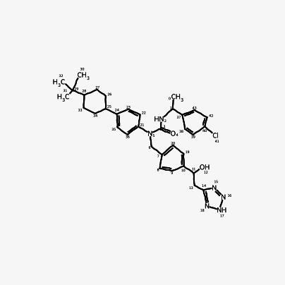 CC(NC(=O)N(Cc1ccc(C(O)Cc2nn[nH]n2)cc1)c1ccc(C2CCC(C(C)(C)C)CC2)cc1)c1ccc(Cl)cc1